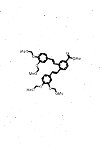 COCOc1ccc(C=Cc2ccc(C(=O)OC)cc2C=Cc2ccc(OCOC)c(OCOC)c2)cc1OCOC